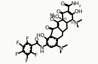 CN(C)c1cc(NC(=O)c2c(F)c(F)c(F)c(F)c2F)c(O)c2c1CC1CC3[C@H](N(C)C)C(O)=C(C(N)=O)C(=O)[C@@]3(O)C(O)=C1C2=O